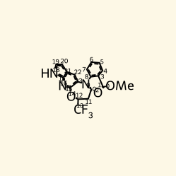 COC(=O)c1ccccc1N1CCC(C(F)(F)F)Oc2nc3[nH]ccc3cc21